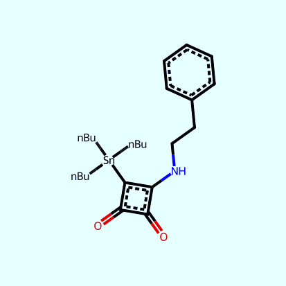 CCC[CH2][Sn]([CH2]CCC)([CH2]CCC)[c]1c(NCCc2ccccc2)c(=O)c1=O